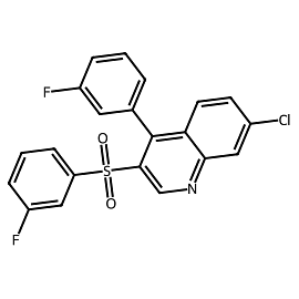 O=S(=O)(c1cccc(F)c1)c1cnc2cc(Cl)ccc2c1-c1cccc(F)c1